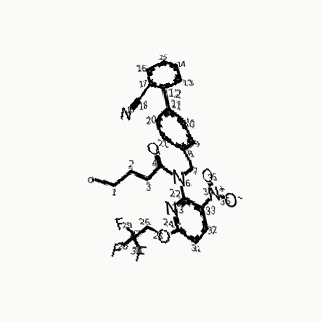 CCCCC(=O)N(Cc1ccc(-c2ccccc2C#N)cc1)c1nc(OCC(F)(F)F)ccc1[N+](=O)[O-]